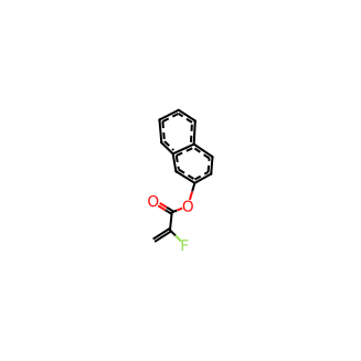 C=C(F)C(=O)Oc1ccc2ccccc2c1